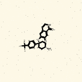 N[C@H]1CC[C@@](Oc2cc3cc[nH]c(=O)c3cc2Cl)(c2ccc(C(F)(F)F)cc2)CC1